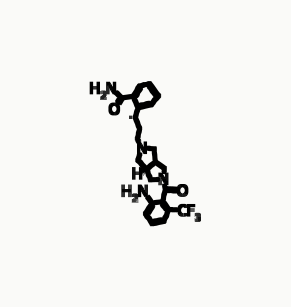 NC(=O)c1ccccc1[CH]CCN1CC2CN(C(=O)c3c(N)cccc3C(F)(F)F)C[C@@H]2C1